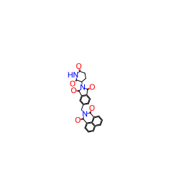 O=C1CCC(N2C(=O)c3ccc(CN4C(=O)c5cccc6cccc(c56)C4=O)cc3C2=O)C(=O)N1